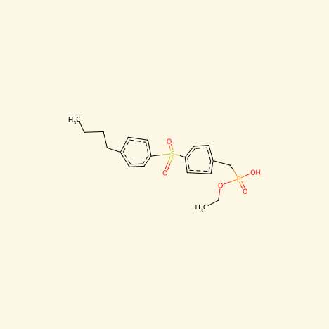 CCCCc1ccc(S(=O)(=O)c2ccc(CP(=O)(O)OCC)cc2)cc1